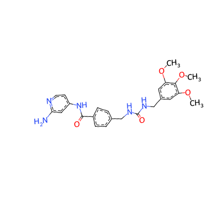 COc1cc(CNC(=O)NCc2ccc(C(=O)Nc3ccnc(N)c3)cc2)cc(OC)c1OC